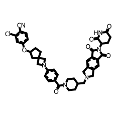 N#Cc1ccc(OC2CCC3(C2)CN(c2ccc(C(=O)N4CCC(CN5Cc6cc7c(cc6C5)C(=O)N(C5CCC(=O)NC5=O)C7=O)CC4)cc2)C3)cc1Cl